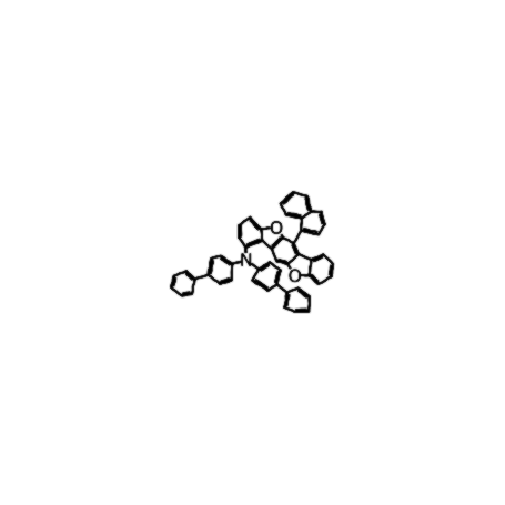 c1ccc(-c2ccc(N(c3ccc(-c4ccccc4)cc3)c3cccc4oc5c(-c6cccc7ccccc67)c6c(cc5c34)oc3ccccc36)cc2)cc1